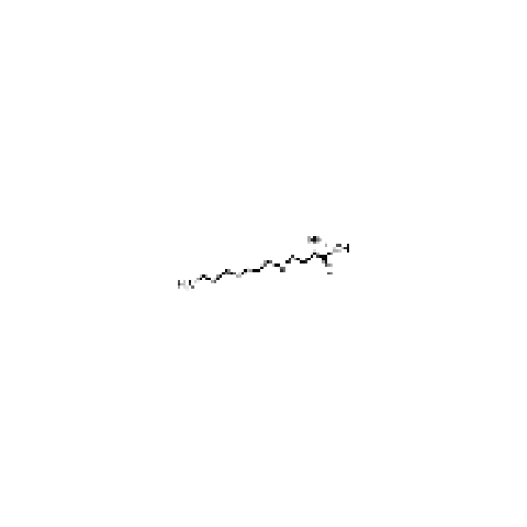 CCCCCCCCSCC[C@H](N)C(=O)O